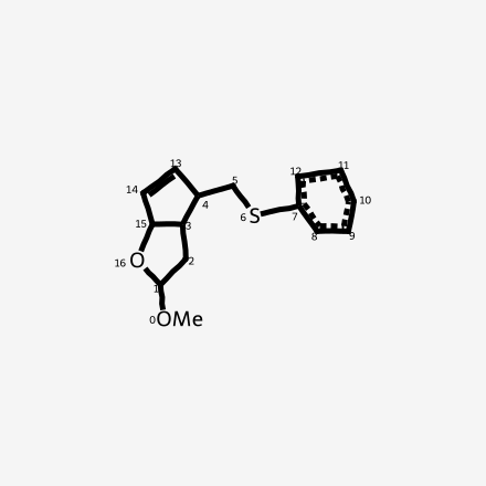 COC1CC2C(CSc3ccccc3)C=CC2O1